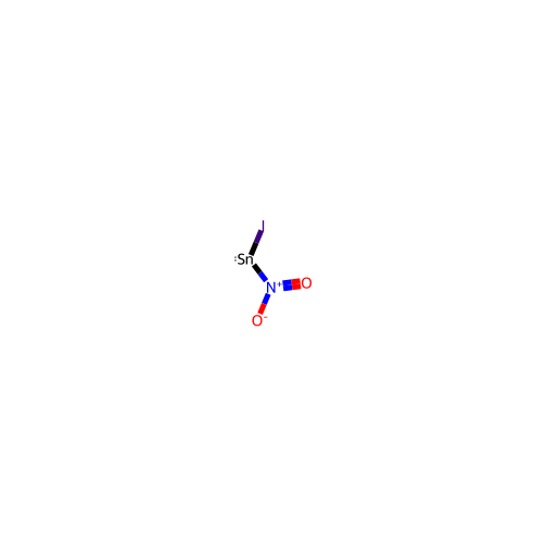 O=[N+]([O-])[Sn][I]